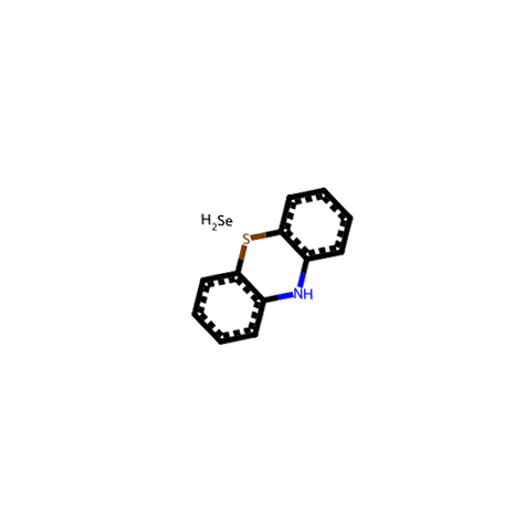 [SeH2].c1ccc2c(c1)Nc1ccccc1S2